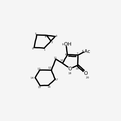 C1CC2CC2C1.CC(=O)C1=C(O)C(CC2CCCCC2)OC1=O